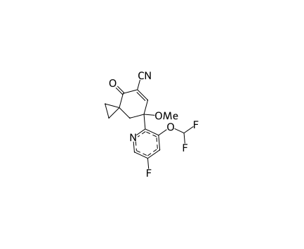 COC1(c2ncc(F)cc2OC(F)F)C=C(C#N)C(=O)C2(CC2)C1